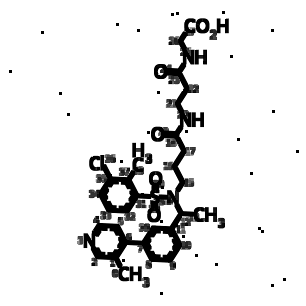 Cc1cnccc1-c1cccc(C(C)N(CCCC(=O)NCCC(=O)NCC(=O)O)S(=O)(=O)c2cccc(Cl)c2C)c1